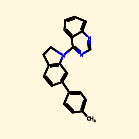 Cc1ccc(-c2ccc3c(c2)N(c2ncnc4ccccc24)CC3)cc1